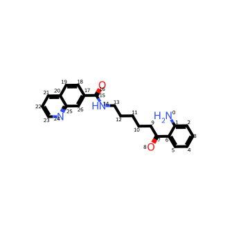 Nc1ccccc1C(=O)CCCCCNC(=O)c1ccc2cccnc2c1